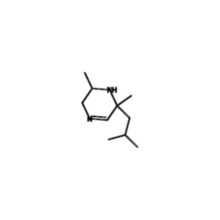 CC(C)CC1(C)C=NCC(C)N1